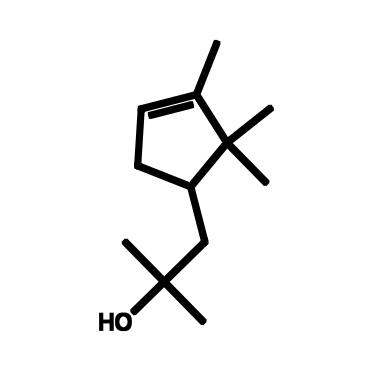 CC1=CCC(CC(C)(C)O)C1(C)C